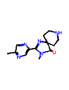 Cc1cnc(C2=NC3(CCNCC3)C(=O)N2C)cn1